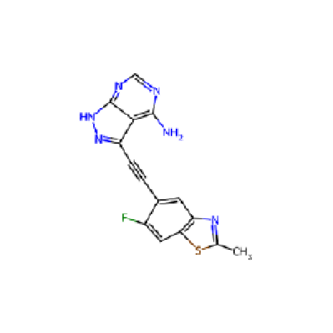 Cc1nc2cc(C#Cc3n[nH]c4ncnc(N)c34)c(F)cc2s1